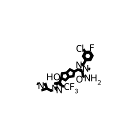 CN1CC(Cn2cc(C3(O)CC4CC(c5nc(-c6ccc(F)c(Cl)c6)n(C)c5C(N)=O)CC4C3)c(C(F)(F)F)n2)C1